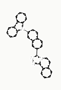 c1ccc2c(c1)ccn1c(-c3ccc4ccc(-n5c6ccccc6c6ccccc65)cc4c3)nnc21